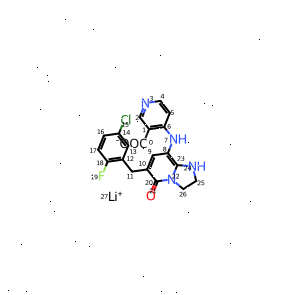 O=C([O-])c1cnccc1Nc1cc(Cc2cc(Cl)ccc2F)c(=O)n2c1NCC2.[Li+]